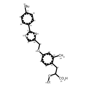 CCOC(Cc1ccc(OCc2csc(-c3ccc(C(C)(C)C)cc3)n2)cc1C)C(=O)O